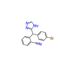 N#Cc1ccccc1C(c1ccc(Br)cc1)c1nnc[nH]1